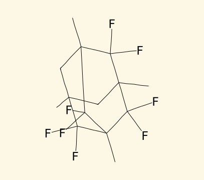 CC12CC3(C)C(F)(F)C(C)(C1)C(F)(F)C(C)(C2(F)F)C3(F)F